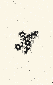 CC[C@@H](Nc1c(C#N)cnc2c(Cl)cc(N[C@@H](c3cccnc3)c3cn(CC4(O)COC4)nn3)cc12)c1ccccc1